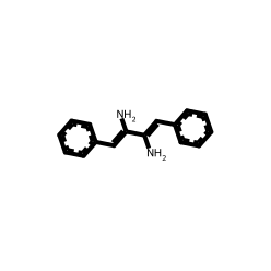 NC(=C\c1ccccc1)/C(N)=C/c1ccccc1